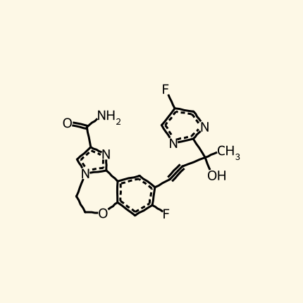 CC(O)(C#Cc1cc2c(cc1F)OCCn1cc(C(N)=O)nc1-2)c1ncc(F)cn1